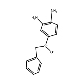 Nc1ccc([S+]([O-])Cc2ccccc2)cc1N